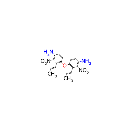 CC=Cc1c(Oc2ccc(N)c([N+](=O)[O-])c2C=CC)ccc(N)c1[N+](=O)[O-]